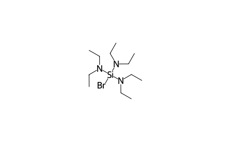 CCN(CC)[Si](Br)(N(CC)CC)N(CC)CC